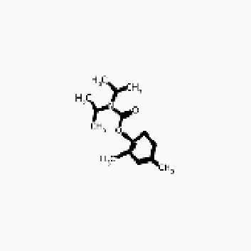 CC1=CC(C)=C(OC(=O)N(C(C)C)C(C)C)[CH]C1